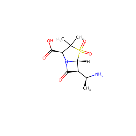 C[C@H](N)[C@H]1C(=O)N2[C@@H](C(=O)O)C(C)(C)S(=O)(=O)[C@H]12